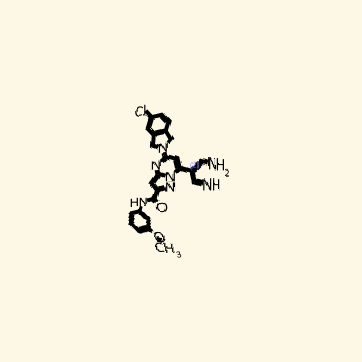 COc1cccc(NC(=O)c2cc3nc(N4Cc5ccc(Cl)cc5C4)cc(/C(C=N)=C/N)n3n2)c1